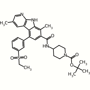 CCS(=O)(=O)c1cccc(-c2cc(C(=O)NC3CCN(C(=O)OC(C)(C)C)CC3)c(C)c3[nH]c4ncc(C)cc4c23)c1